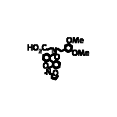 COc1cc(CCN(CCC(=O)O)C(=O)c2ccccc2-c2ccccc2C(=O)N(C)c2ccco2)cc(OC)c1